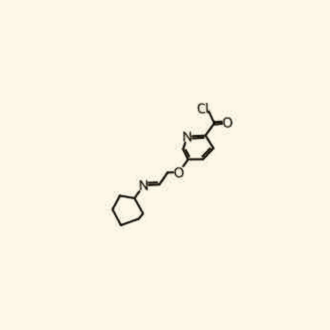 O=C(Cl)c1ccc(OCC=NC2CCCCC2)cn1